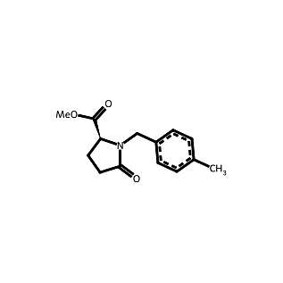 COC(=O)[C@@H]1CCC(=O)N1Cc1ccc(C)cc1